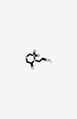 C=CCN1C(=O)CSCS1(=O)=O